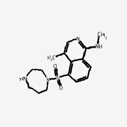 CNc1ncc(C)c2c(S(=O)(=O)N3CCCNCC3)cccc12